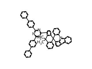 CC1(C)c2ccccc2C2(c3ccccc3-n3c4ccccc4c4cccc2c43)c2cccc(-c3nc(-c4ccc(-c5ccccc5)cc4)nc(-c4ccc(-c5ccccc5)cc4)n3)c21